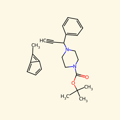 C#CC(c1ccccc1)N1CCN(C(=O)OC(C)(C)C)CC1.Cc1c2cccc1-2